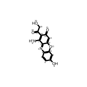 Nc1c2nc3ccc(O)cc3oc-2cc(=O)c1C(=O)CO